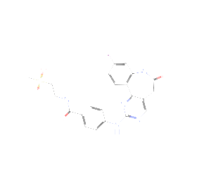 CS(=O)(=O)CCNC(=O)c1ccc(Nc2ncc3c(n2)-c2ccc(I)cc2NC(=O)C3)cc1